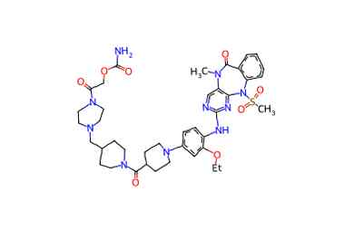 CCOc1cc(N2CCC(C(=O)N3CCC(CN4CCN(C(=O)COC(N)=O)CC4)CC3)CC2)ccc1Nc1ncc2c(n1)N(S(C)(=O)=O)c1ccccc1C(=O)N2C